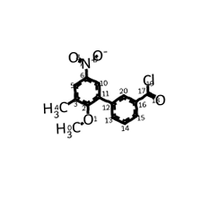 COc1c(C)cc([N+](=O)[O-])cc1-c1cccc(C(=O)Cl)c1